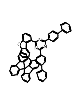 c1ccc(-c2ccc(-c3nc(-c4ccc(-c5ccccc5)cc4)nc(-c4cccc5oc6ccc(-c7cccc8c7C7(c9ccccc9-c9ccccc97)c7ccccc7-8)cc6c45)n3)cc2)cc1